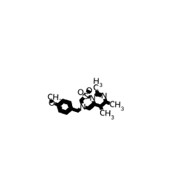 COc1ccc(CN2C=C3C(C)C(C)N=C(C)N3S(=O)(=O)C2)cc1